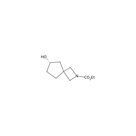 CCOC(=O)N1CC2(CC[C@H](O)C2)C1